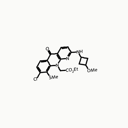 CCOC(=O)Cn1c2nc(NC3CC(OC)C3)ccc2c(=O)c2ccc(Cl)c(SC)c21